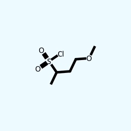 COCCC(C)S(=O)(=O)Cl